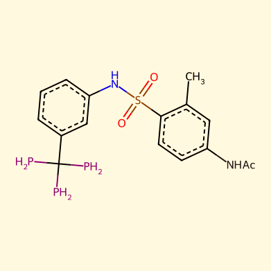 CC(=O)Nc1ccc(S(=O)(=O)Nc2cccc(C(P)(P)P)c2)c(C)c1